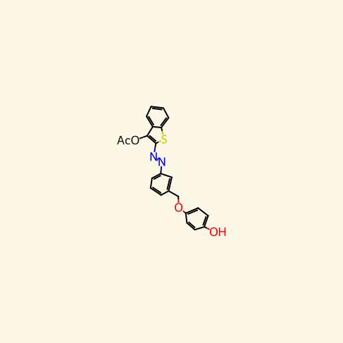 CC(=O)Oc1c(N=Nc2cccc(COc3ccc(O)cc3)c2)sc2ccccc12